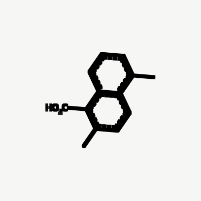 Cc1ccc2c(C)cccc2c1C(=O)O